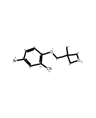 CC1(COc2ccc(Br)cc2C#N)COC1